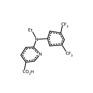 CCN(c1cc(C(F)(F)F)cc(C(F)(F)F)c1)c1ccc(C(=O)O)cn1